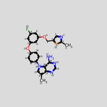 Cc1ncc(COc2cc(F)cc(Oc3ccc(-n4cc(C)c5ncnc(N)c54)cc3)c2)s1